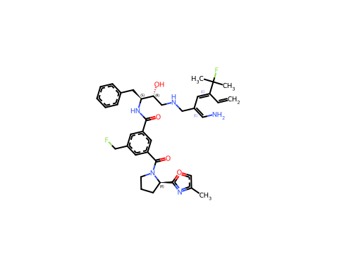 C=C/C(=C\C(=C/N)CNC[C@@H](O)[C@H](Cc1ccccc1)NC(=O)c1cc(CF)cc(C(=O)N2CCC[C@@H]2c2nc(C)co2)c1)C(C)(C)F